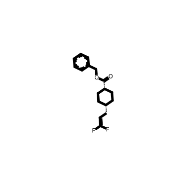 O=C(OCc1ccccc1)[C@H]1CC[C@@H](CC=C(F)F)CC1